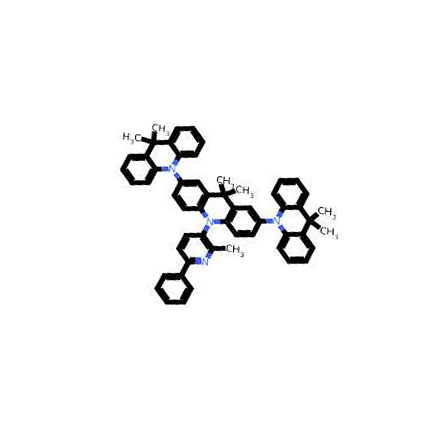 Cc1nc(-c2ccccc2)ccc1N1c2ccc(N3c4ccccc4C(C)(C)c4ccccc43)cc2C(C)(C)c2cc(N3c4ccccc4C(C)(C)c4ccccc43)ccc21